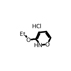 CCOC1=CC=CON1.Cl